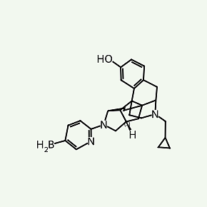 Bc1ccc(N2C[C@H]3CC45CCC2C3C42CCN(CC3CC3)C5Cc3ccc(O)cc32)nc1